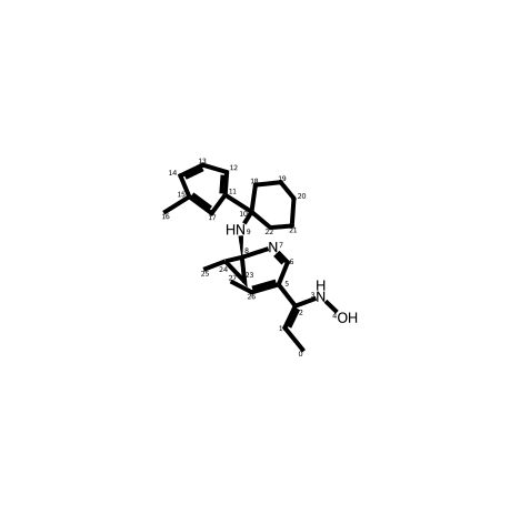 CC=C(NO)C(/C=N\[C@]1(NC2(c3cccc(C)c3)CCCCC2)CC1C)=C/C